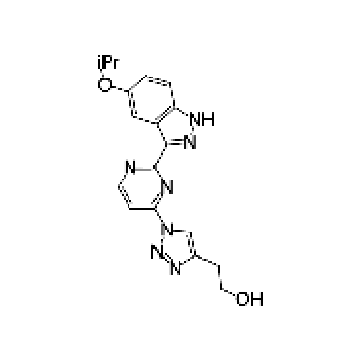 CC(C)Oc1ccc2[nH]nc(-c3nccc(-n4cc(CCO)nn4)n3)c2c1